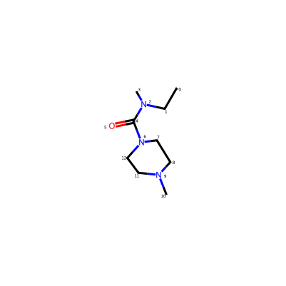 [CH2]CN(C)C(=O)N1CCN(C)CC1